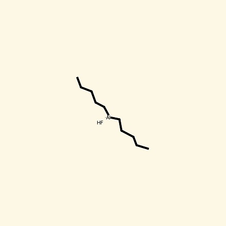 CCCC[CH2][Al][CH2]CCCC.F